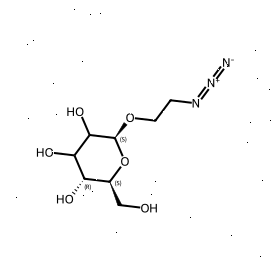 [N-]=[N+]=NCCO[C@H]1O[C@@H](CO)[C@H](O)C(O)C1O